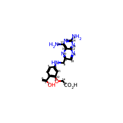 C=C(O)c1ccc(NCc2cnc3nc(N)nc(N)c3n2)cc1OCC(=O)O